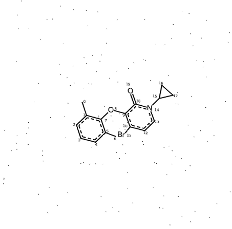 Cc1cccc(C)c1Oc1c(Br)ccn(C2CC2)c1=O